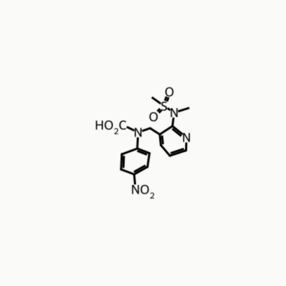 CN(c1ncccc1CN(C(=O)O)c1ccc([N+](=O)[O-])cc1)S(C)(=O)=O